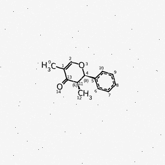 CC1=CO[C@@H](c2ccccc2)[C@@H](C)C1=O